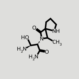 CC1N([C@H](C(N)=O)[C@@H](N)O)C(=O)C12CCCN2